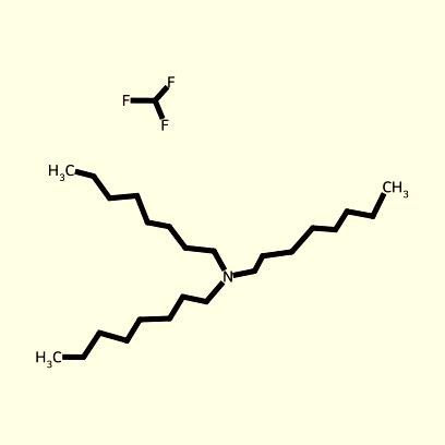 CCCCCCCCN(CCCCCCCC)CCCCCCCC.FC(F)F